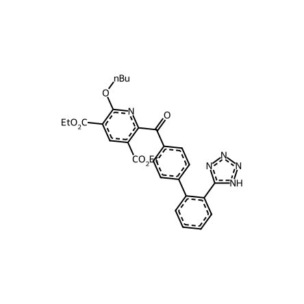 CCCCOc1nc(C(=O)c2ccc(-c3ccccc3-c3nnn[nH]3)cc2)c(C(=O)OCC)cc1C(=O)OCC